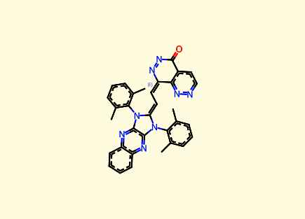 Cc1cccc(C)c1N1C(=C/C=C2/N=NC(=O)c3ccnnc32)N(c2c(C)cccc2C)c2nc3ccccc3nc21